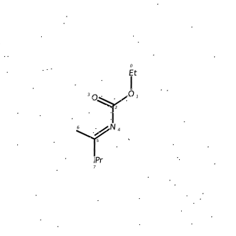 CCOC(=O)N=C(C)C(C)C